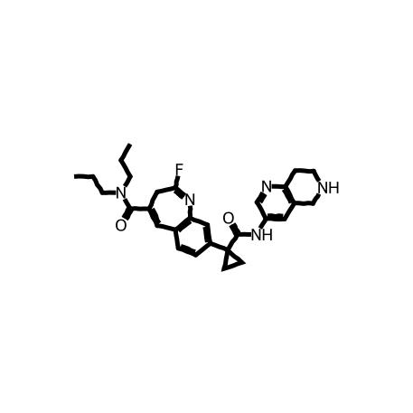 CCCN(CCC)C(=O)C1=Cc2ccc(C3(C(=O)Nc4cnc5c(c4)CNCC5)CC3)cc2N=C(F)C1